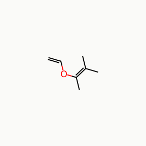 C=COC(C)=C(C)C